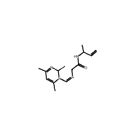 C=CC(C)NC(=O)C/N=C\N1C(C)=CC(C)=NC1C